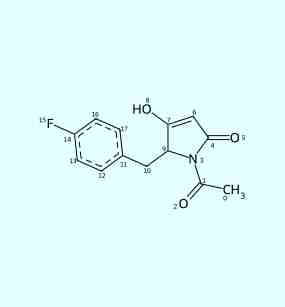 CC(=O)N1C(=O)C=C(O)C1Cc1ccc(F)cc1